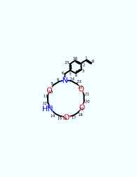 C=Cc1ccc(CN2CCOCCNCCOCCOCCOCC2)cc1